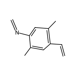 C=Cc1cc(C)c(N=C)cc1C